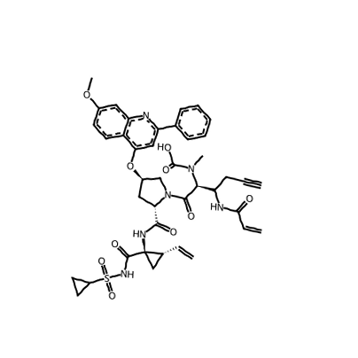 C#CCC(NC(=O)C=C)[C@@H](C(=O)N1C[C@H](Oc2cc(-c3ccccc3)nc3cc(OC)ccc23)C[C@H]1C(=O)N[C@]1(C(=O)NS(=O)(=O)C2CC2)C[C@H]1C=C)N(C)C(=O)O